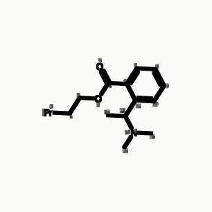 CC(C)CCOC(=O)c1ccccc1C(C)N(C)C